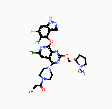 C=CC(=O)N1CCN(c2nc(OC[C@@H]3CCCN3C)nc3c(Oc4c(Cl)c(F)cc5[nH]ncc45)nc(Cl)cc23)CC1